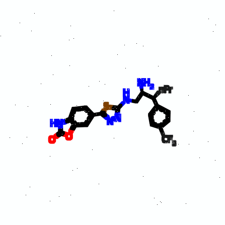 CCC[C@@H](c1ccc(C(F)(F)F)cc1)[C@H](N)CNc1nnc(-c2ccc3[nH]c(=O)oc3c2)s1